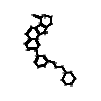 O=C1NCCc2[nH]c3c(ccc4cnc(-c5cccc(OCCN6CCOCC6)c5)cc43)c21